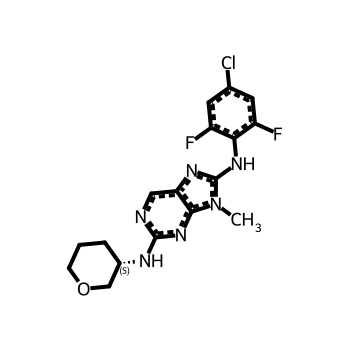 Cn1c(Nc2c(F)cc(Cl)cc2F)nc2cnc(N[C@H]3CCCOC3)nc21